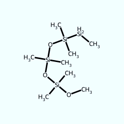 CO[Si](C)(C)O[Si](C)(C)O[Si](C)(C)[SiH2]C